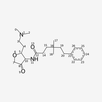 CN(C)CCC1OCC(=O)C1NC(=O)[CH]CC(C)(C)CCc1ccccc1